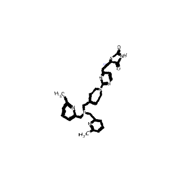 Cc1cccc(CN(Cc2cccc(C)n2)CC2CCN(c3nccc(/C=C4/SC(=O)NC4=O)n3)CC2)n1